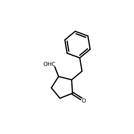 O=CC1CCC(=O)C1Cc1ccccc1